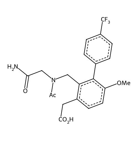 COc1ccc(CC(=O)O)c(CN(CC(N)=O)C(C)=O)c1-c1ccc(C(F)(F)F)cc1